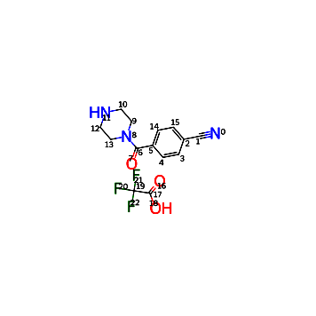 N#Cc1ccc(C(=O)N2CCNCC2)cc1.O=C(O)C(F)(F)F